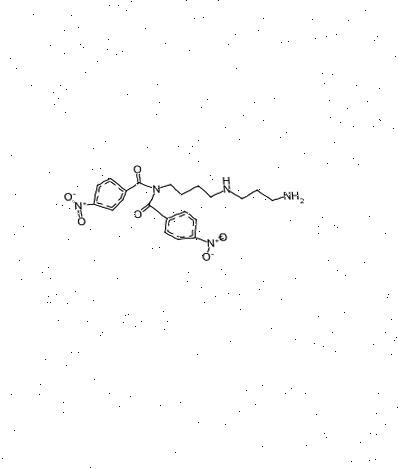 NCCCNCCCCN(C(=O)c1ccc([N+](=O)[O-])cc1)C(=O)c1ccc([N+](=O)[O-])cc1